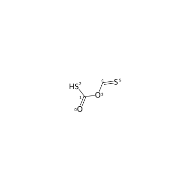 O=C(S)OC=S